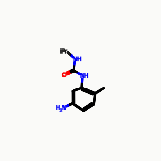 Cc1ccc(N)cc1NC(=O)NC(C)C